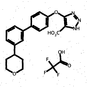 O=C(O)C(F)(F)F.O=C(O)c1[nH]nnc1Oc1ccc(-c2cccc(C3CCOCC3)c2)cc1